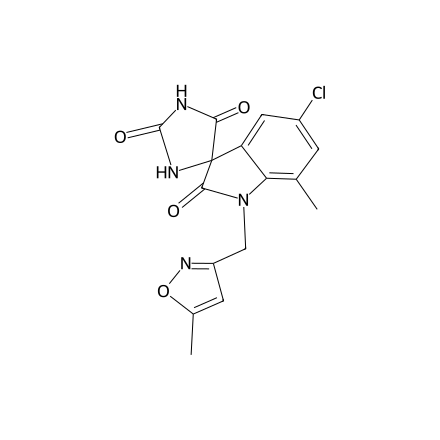 Cc1cc(CN2C(=O)C3(NC(=O)NC3=O)c3cc(Cl)cc(C)c32)no1